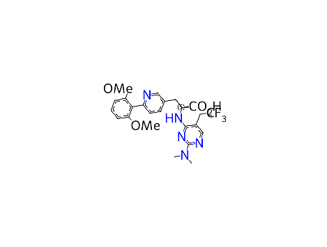 COc1cccc(OC)c1-c1ccc(C[C@H](Nc2nc(N(C)C)ncc2CC(F)(F)F)C(=O)O)cn1